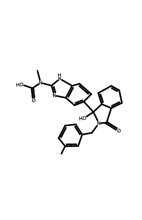 Cc1cccc(CN2C(=O)c3ccccc3C2(O)c2ccc3[nH]c(N(C)C(=O)O)nc3c2)c1